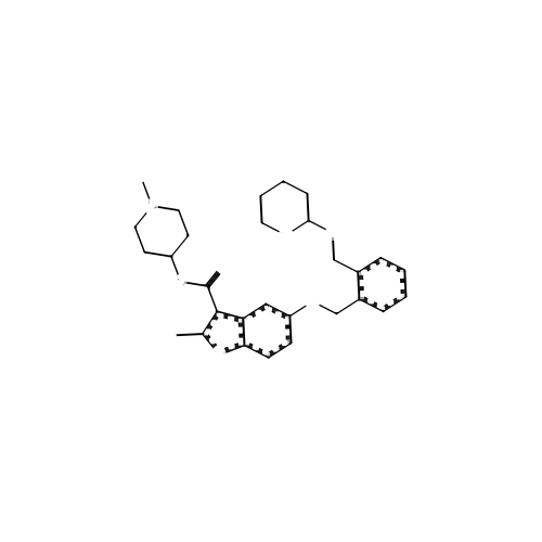 Cc1oc2ccc(OCc3ccccc3COC3CCCCO3)cc2c1C(=O)NC1CCN(C)CC1